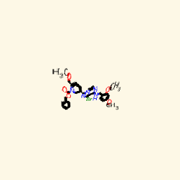 COC[C@H]1CC[C@@H](c2nc(Br)c3c(NCc4ccc(OC)cc4OC)nccn23)CN1C(=O)OCc1ccccc1